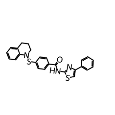 O=C(Nc1nc(-c2ccccc2)cs1)c1ccc(SN2CCCc3ccccc32)cc1